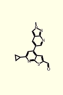 Cn1cc2cc(-c3cc(C4CC4)nc4sc(C=O)cc34)cnc2n1